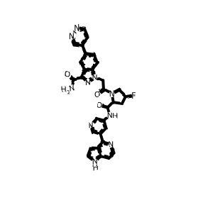 NC(=O)c1nn(CC(=O)N2CC(F)CC2C(=O)Nc2cncc(-c3nccc4[nH]ccc34)c2)c2ccc(-c3ccnnc3)cc12